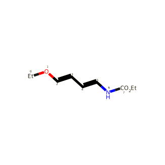 CCOC=CC=CNC(=O)OCC